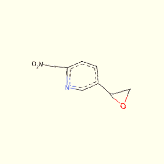 O=[N+]([O-])c1ccc(C2CO2)cn1